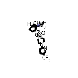 CC1(C)[C@@H]2CC[C@@]1(CS(=O)(=O)N1CCN(c3ccc(C(F)(F)F)cn3)CC1)/C(=N/O)C2